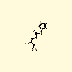 COC(O)CCC(=O)On1ccnc1